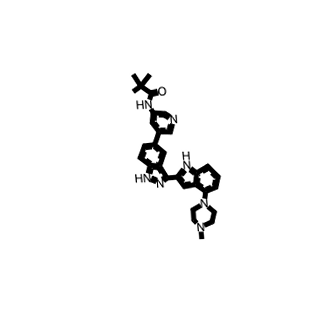 CN1CCN(c2cccc3[nH]c(-c4n[nH]c5ccc(-c6cncc(NC(=O)C(C)(C)C)c6)cc45)cc23)CC1